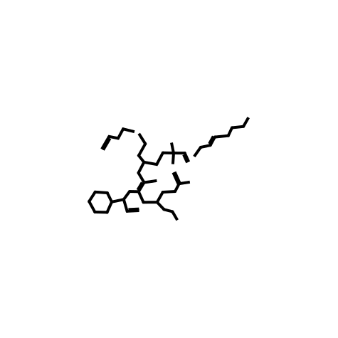 C=CC(CC(CC(CCC)CCC(=C)C)=C(C)CC(CCC)CCC(C)(C)C=C)C1CCCCC1.C=CCCC.CCC=CCCCC